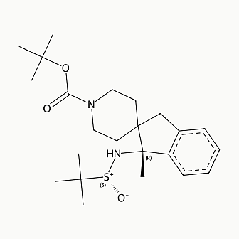 CC(C)(C)OC(=O)N1CCC2(CC1)Cc1ccccc1[C@]2(C)N[S@+]([O-])C(C)(C)C